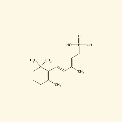 CC(C=CC1=C(C)CCCC1(C)C)=CCP(=O)(O)O